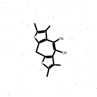 Cc1sc2c(c1C)C(C#N)=C(C#N)c1c(sc(C)c1C)C2